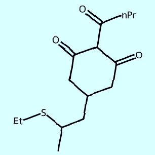 CCCC(=O)C1C(=O)CC(CC(C)SCC)CC1=O